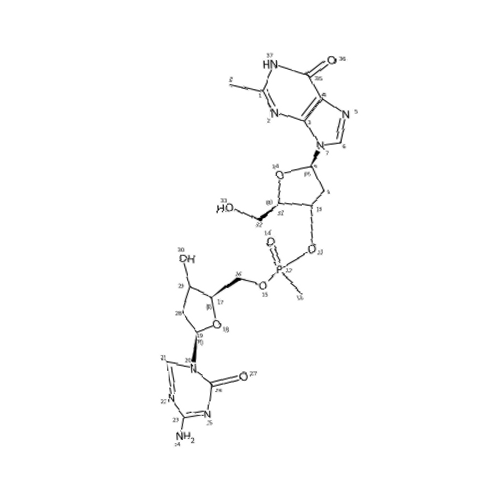 Cc1nc2c(ncn2[C@H]2CC(OP(C)(=O)OC[C@H]3O[C@@H](n4cnc(N)nc4=O)CC3O)[C@@H](CO)O2)c(=O)[nH]1